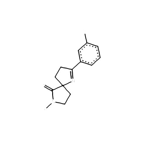 CCN1CCC2(CCC(c3cccc(Br)c3)=N2)C1=O